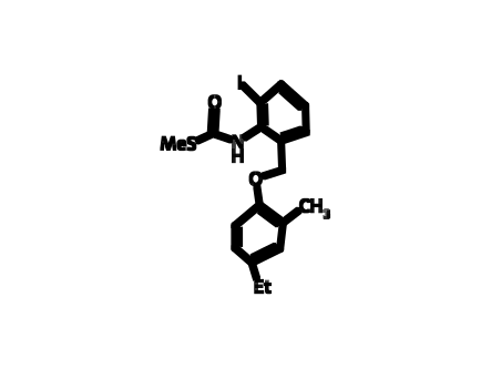 CCc1ccc(OCc2cccc(I)c2NC(=O)SC)c(C)c1